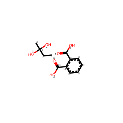 CCC(C)(O)O.O=C(O)c1ccccc1C(=O)O